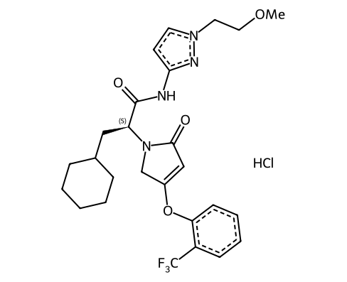 COCCn1ccc(NC(=O)[C@H](CC2CCCCC2)N2CC(Oc3ccccc3C(F)(F)F)=CC2=O)n1.Cl